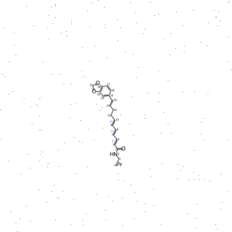 CC(C)CNC(=O)/C=C/C=C/C=C/CCC=Cc1ccc2c(c1)OCO2